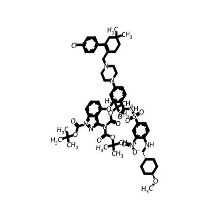 CO[C@H]1CC[C@H](CNc2ccc(S(=O)(=O)NC(=O)c3ccc(N4CCN(CC5=C(c6ccc(Cl)cc6)CC(C)(C)CC5)CC4)cc3Oc3cccc4c3c(N(C(=O)OC(C)(C)C)C(=O)OC(C)(C)C)nn4C(=O)OC(C)(C)C)cc2[N+](=O)[O-])CC1